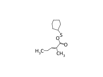 CCC=C(C)C(=O)OSC1CCCCC1